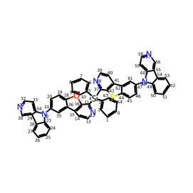 c1ccc([Si](c2ccccc2)(c2nccc3c2oc2ccc(-n4c5ccccc5c5cnccc54)cc23)c2nccc3c2sc2ccc(-n4c5ccccc5c5cnccc54)cc23)cc1